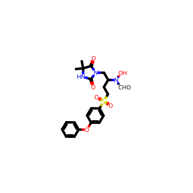 CC1(C)NC(=O)N(CC(CCS(=O)(=O)c2ccc(Oc3ccccc3)cc2)N(O)C=O)C1=O